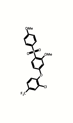 COc1ccc(S(=O)(=O)c2ccc(Oc3ccc(C(F)(F)F)cc3Cl)cc2OC)cc1